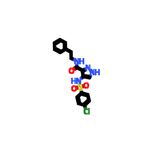 O=C(NCCc1ccccc1)c1n[nH]cc1NS(=O)(=O)c1ccc(Cl)cc1